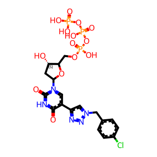 O=c1[nH]c(=O)n(C2C[C@H](O)C(COP(=O)(O)OP(=O)(O)OP(=O)(O)O)O2)cc1-c1cn(Cc2ccc(Cl)cc2)nn1